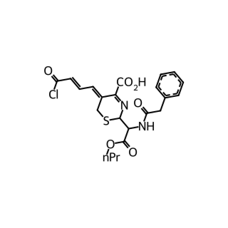 CCCOC(=O)C(NC(=O)Cc1ccccc1)C1N=C(C(=O)O)/C(=C/C=C/C(=O)Cl)CS1